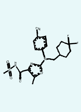 Cc1oc(N(CC2CCC(F)(F)CC2)c2ccc(C#N)cc2)nc1C(=O)NS(C)(=O)=O